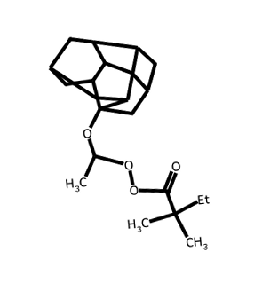 CCC(C)(C)C(=O)OOC(C)OC12CC3CC4C5CC(CC41)CC2C5C3